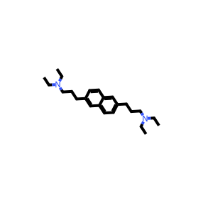 CCN(CC)CCCc1ccc2cc(CCCN(CC)CC)ccc2c1